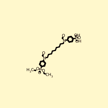 CCOP(=O)(OCC)c1ccc(N(C=O)CCCCCCCCCN(C=O)c2ccc(P(=O)(O)O)cc2)cc1